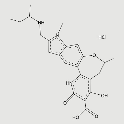 CCC(C)NCc1cc2cc3c(cc2n1C)OC(C)Cc1c-3[nH]c(=O)c(C(=O)O)c1O.Cl